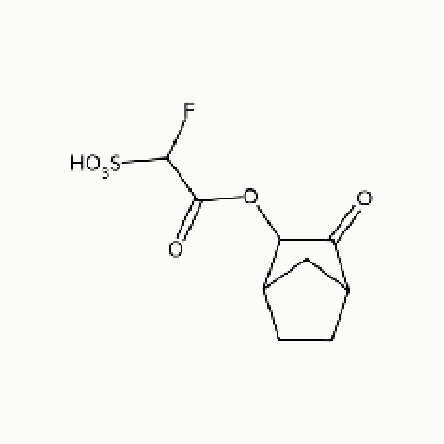 O=C1C2CCC(C2)C1OC(=O)C(F)S(=O)(=O)O